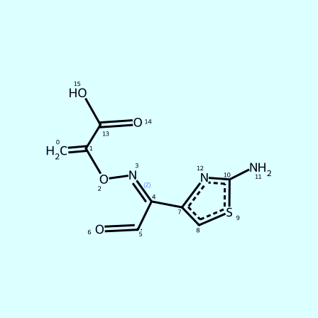 C=C(O/N=C(\[C]=O)c1csc(N)n1)C(=O)O